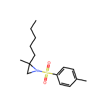 CCCCCC1(C)CN1S(=O)(=O)c1ccc(C)cc1